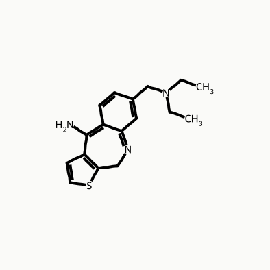 CCN(CC)Cc1ccc2c(c1)=NCc1sccc1C=2N